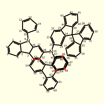 C1=CC2c3ccccc3N(c3ccccc3)C2C=C1N(c1ccc2c(c1)C1(c3ccccc3-c3ccccc31)c1ccccc1-2)c1ccccc1-c1ccccc1-c1ccccc1-c1ccccc1